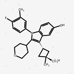 Cc1cc(-n2c(C3CCOCC3)c([C@H]3C[C@](C)(C(=O)O)C3)c3cc(O)ccc32)ccc1F